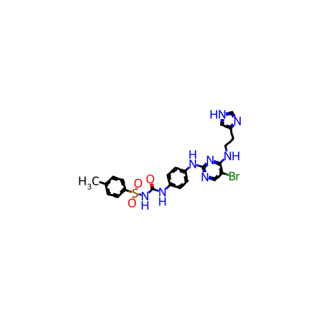 Cc1ccc(S(=O)(=O)NC(=O)Nc2ccc(Nc3ncc(Br)c(NCCc4c[nH]cn4)n3)cc2)cc1